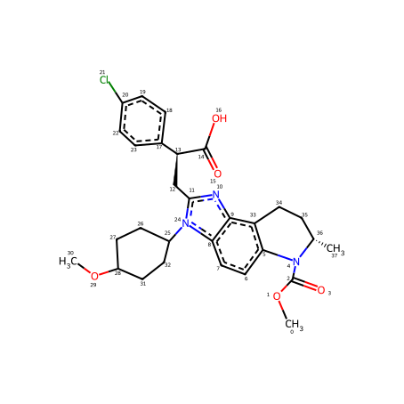 COC(=O)N1c2ccc3c(nc(C[C@H](C(=O)O)c4ccc(Cl)cc4)n3C3CCC(OC)CC3)c2CC[C@@H]1C